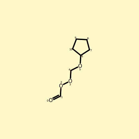 O=[C]OOCOC1CCCC1